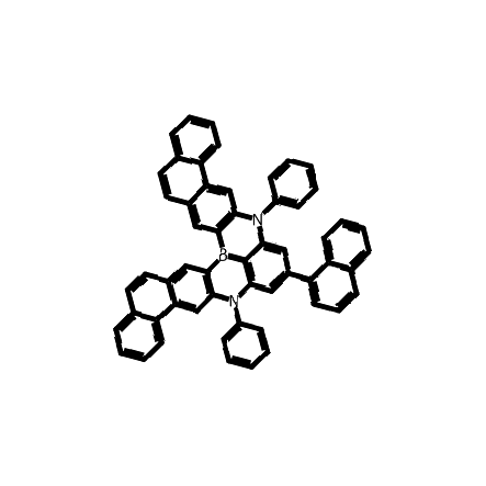 c1ccc(N2c3cc4c(ccc5ccccc54)cc3B3c4cc5ccc6ccccc6c5cc4N(c4ccccc4)c4cc(-c5cccc6ccccc56)cc2c43)cc1